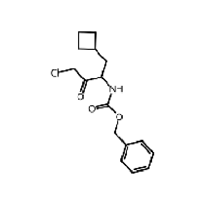 O=C(NC(CC1CCC1)C(=O)CCl)OCc1ccccc1